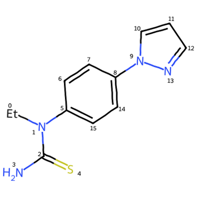 CCN(C(N)=S)c1ccc(-n2cccn2)cc1